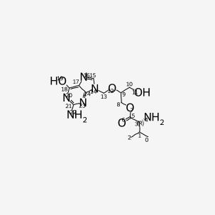 CC(C)[C@@H](N)C(=O)OCC(CO)OCn1cnc2c(O)nc(N)nc21